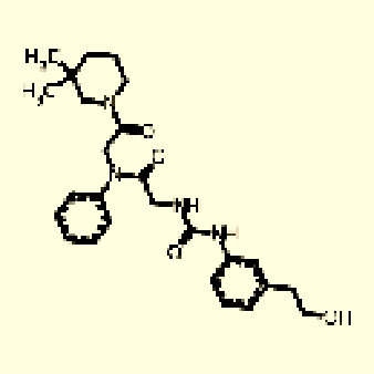 CC1(C)CCCN(C(=O)CN(C(=O)CNC(=O)Nc2cccc(CCO)c2)c2ccccc2)C1